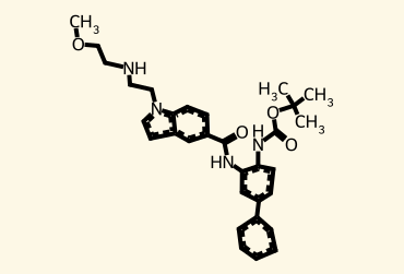 COCCNCCn1ccc2cc(C(=O)Nc3cc(-c4ccccc4)ccc3NC(=O)OC(C)(C)C)ccc21